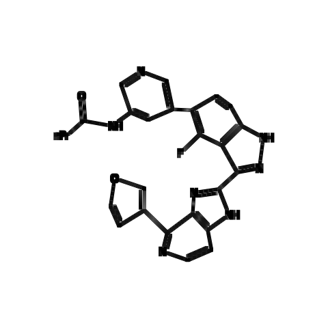 CCCC(=O)Nc1cncc(-c2ccc3[nH]nc(-c4nc5c(-c6ccoc6)nccc5[nH]4)c3c2F)c1